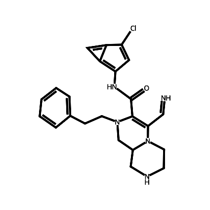 N=CC1=C(C(=O)Nc2cc(Cl)c3cc2-3)N(CCc2ccccc2)CC2CNCCN12